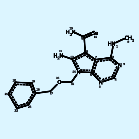 CNc1ncnc2c1c(C(N)=[Se])c(N)n2COCc1ccccc1